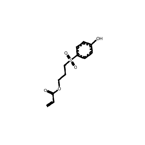 C=CC(=O)OCCCS(=O)(=O)c1ccc(O)cc1